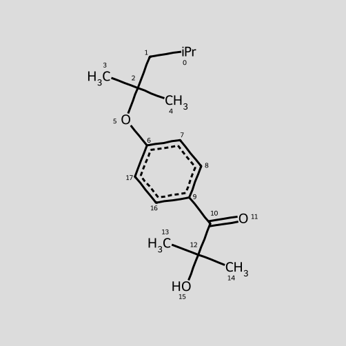 CC(C)CC(C)(C)Oc1ccc(C(=O)C(C)(C)O)cc1